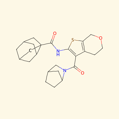 O=C(c1c(NC(=O)C23CC4CC(CC2C4)C3)sc2c1CCOC2)N1CC2CCC1C2